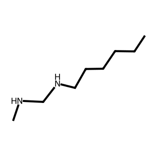 CCCCCCNCNC